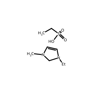 CCN1C=CN(C)C1.CCS(=O)(=O)O